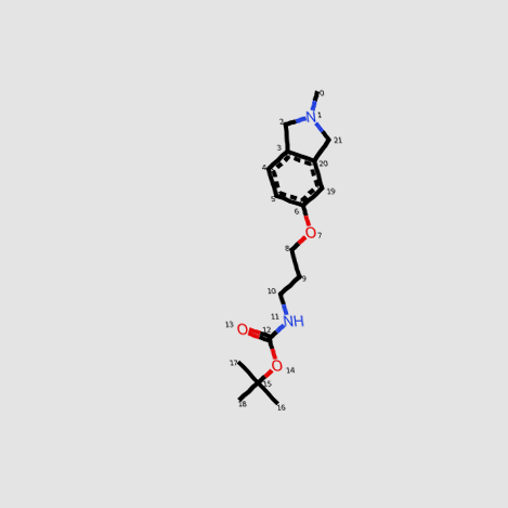 CN1Cc2ccc(OCCCNC(=O)OC(C)(C)C)cc2C1